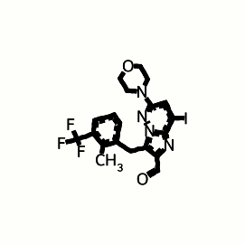 Cc1c(Cc2c(C=O)nc3c(I)cc(N4CCOCC4)nn23)cccc1C(F)(F)F